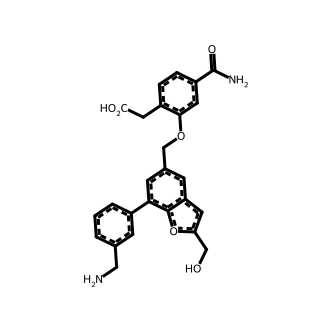 NCc1cccc(-c2cc(COc3cc(C(N)=O)ccc3CC(=O)O)cc3cc(CO)oc23)c1